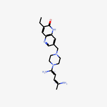 CCc1cc2ncc(CN3CCN(/C(N)=C/C=C(/C)N)CC3)cc2[nH]c1=O